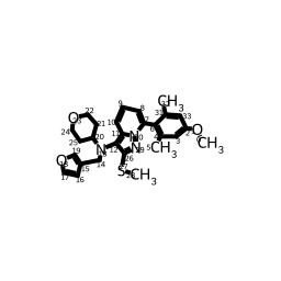 COc1cc(C)c(-c2cccc3c(N(Cc4ccoc4)C4CCOCC4)c(SC)nn23)c(C)c1